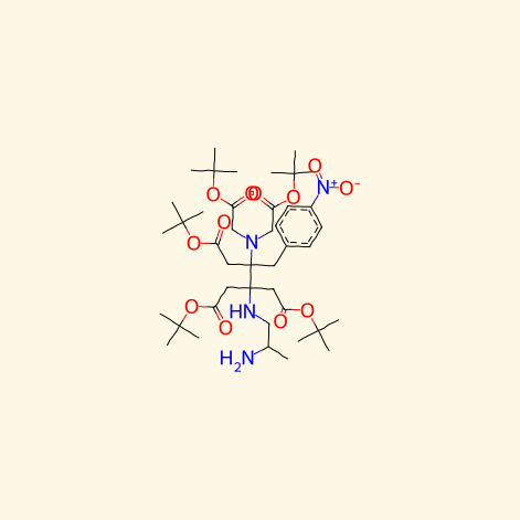 CC(N)CNC(CC(=O)OC(C)(C)C)(CC(=O)OC(C)(C)C)C(CC(=O)OC(C)(C)C)(Cc1ccc([N+](=O)[O-])cc1)N(CC(=O)OC(C)(C)C)CC(=O)OC(C)(C)C